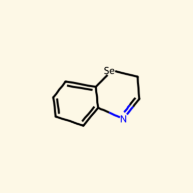 C1=Nc2ccccc2[Se]C1